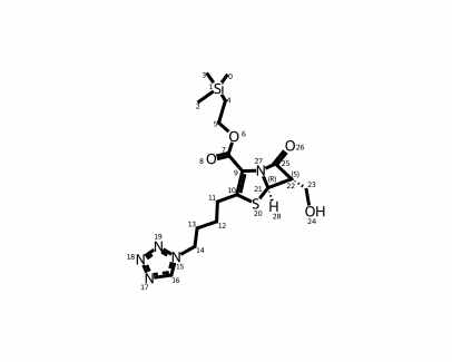 C[Si](C)(C)CCOC(=O)C1=C(CCCCn2cnnn2)S[C@@H]2[C@@H](CO)C(=O)N12